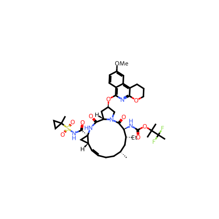 CC[C@@H]1C[C@H](C)CC/C=C\[C@@H]2C[C@@]2(C(=O)NS(=O)(=O)C2(C)CC2)NC(=O)[C@@H]2C[C@@H](Oc3nc4c(c5cc(OC)ccc35)CCCO4)CN2C(=O)[C@H]1NC(=O)OC(C)(C)C(C)(F)F